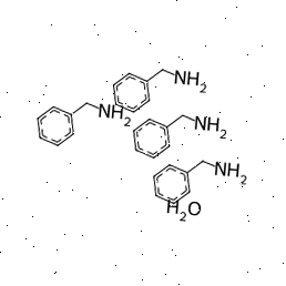 NCc1ccccc1.NCc1ccccc1.NCc1ccccc1.NCc1ccccc1.O